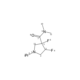 CC(C)N1CC(F)C(F)(C(=O)N(C)C)C1